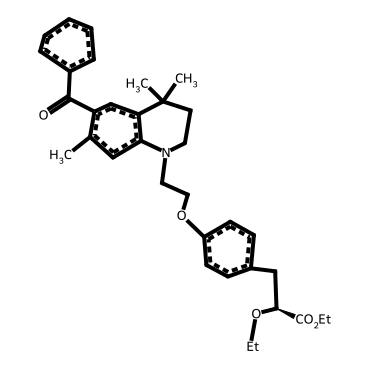 CCOC(=O)[C@H](Cc1ccc(OCCN2CCC(C)(C)c3cc(C(=O)c4ccccc4)c(C)cc32)cc1)OCC